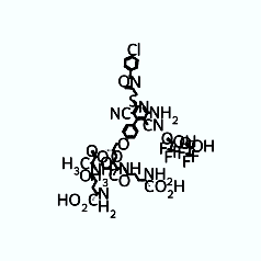 C[C@H](NC(=O)CC[C@H](N)C(=O)O)C(=O)OC[C@H](COc1ccc(-c2c(C#N)c(N)nc(SCc3coc(-c4ccc(Cl)cc4)n3)c2C#N)cc1)OC(=O)[C@H](C)NC(=O)CC[C@H](N)C(=O)O.O=C(O)C(F)(F)F.O=C(O)C(F)(F)F